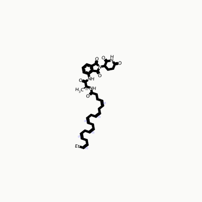 CC/C=C\C/C=C\C/C=C\C/C=C\C/C=C\C/C=C\CCC(=O)N[C@@H](C)C(=O)Nc1cccc2c1C(=O)N(C1CCC(=O)NC1=O)C2=O